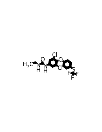 CCNC(=O)Nc1cc(Cl)c(Oc2ccc(SC(F)(F)F)cc2)c(Cl)c1